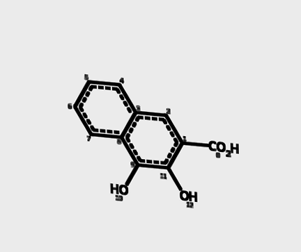 O=C(O)c1cc2ccccc2c(O)c1O